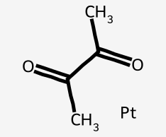 CC(=O)C(C)=O.[Pt]